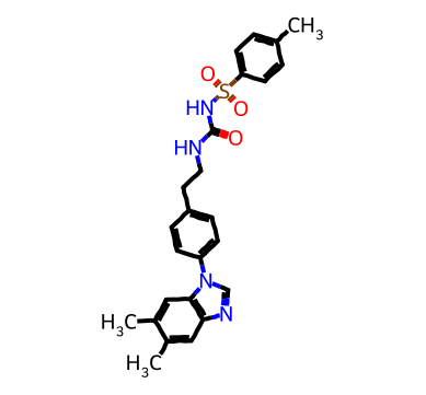 Cc1ccc(S(=O)(=O)NC(=O)NCCc2ccc(-n3cnc4cc(C)c(C)cc43)cc2)cc1